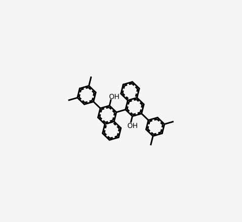 Cc1cc(C)cc(-c2cc3ccccc3c(-c3c(O)c(-c4cc(C)cc(C)c4)cc4ccccc34)c2O)c1